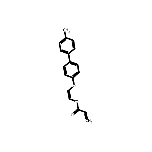 C=CC(=O)O/C=C\Oc1ccc(-c2ccc(C)cc2)cc1